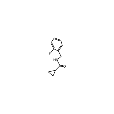 O=C(NCc1ccccc1F)C1CC1